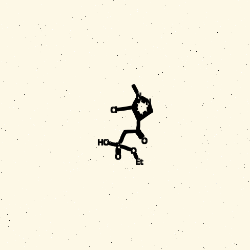 CCOP(=O)(O)CC(=O)c1cnn(C)c1Cl